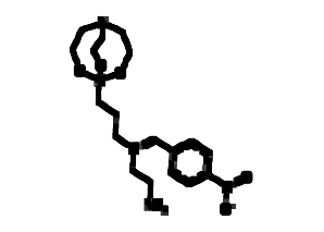 NCC[N+](=Cc1ccc([N+](=O)[O-])cc1)CCC[Si]12OCCN(CCO1)CCO2